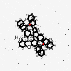 Cc1cccc(C)c1B1c2ccc(B(c3ccccc3)c3ccccc3)cc2C2(c3cc(B(c4ccccc4)c4ccccc4)ccc31)c1cc(B(c3ccccc3)c3ccccc3)ccc1-c1ccc(B(c3ccccc3)c3ccccc3)cc12